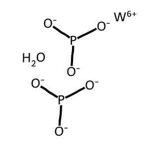 O.[O-]P([O-])[O-].[O-]P([O-])[O-].[W+6]